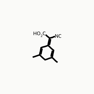 [C-]#[N+]C(C(=O)O)=C1C=C(C)CC(C)=C1